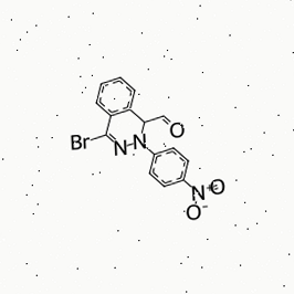 O=CC1c2ccccc2C(Br)=NN1c1ccc([N+](=O)[O-])cc1